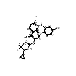 O=C(NC(C1CC1)C(F)(F)F)Oc1cn(-c2ccc(F)cc2F)c2nc(Cl)ccc2c1=O